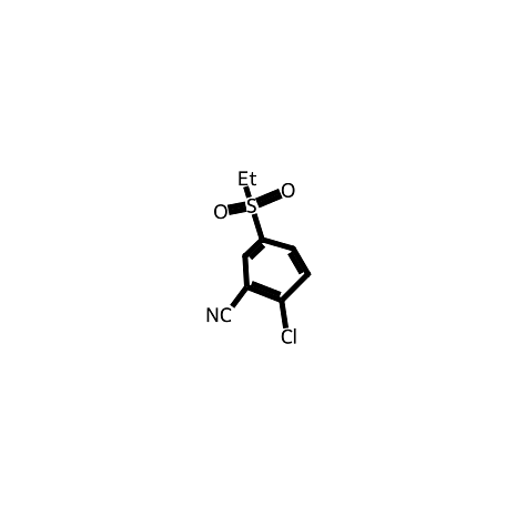 CCS(=O)(=O)c1ccc(Cl)c(C#N)c1